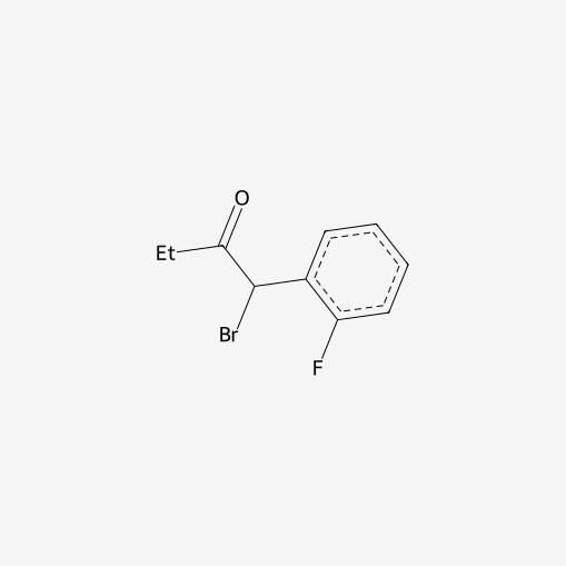 CCC(=O)C(Br)c1ccccc1F